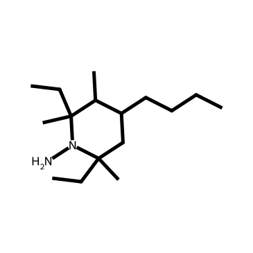 CCCCC1CC(C)(CC)N(N)C(C)(CC)C1C